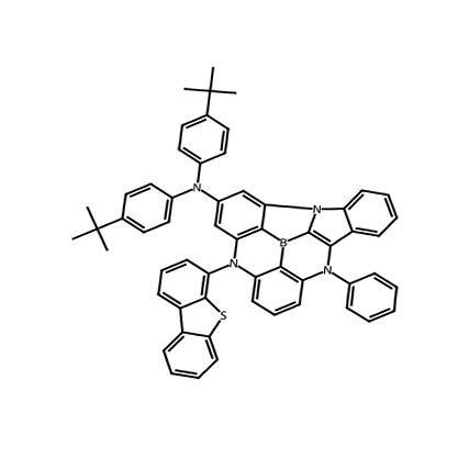 CC(C)(C)c1ccc(N(c2ccc(C(C)(C)C)cc2)c2cc3c4c(c2)-n2c5c(c6ccccc62)N(c2ccccc2)c2cccc(c2B45)N3c2cccc3c2sc2ccccc23)cc1